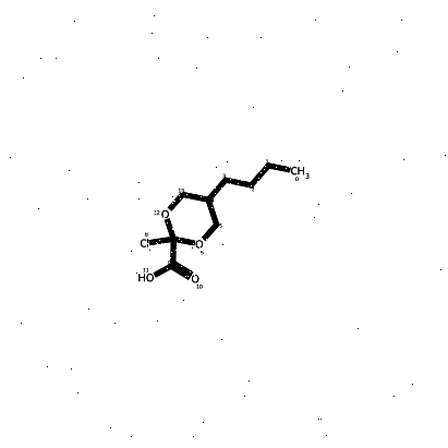 CCCCC1COC(Cl)(C(=O)O)OC1